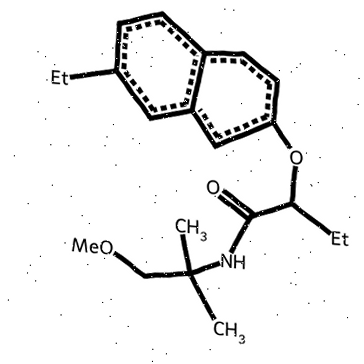 CCc1ccc2ccc(OC(CC)C(=O)NC(C)(C)COC)cc2c1